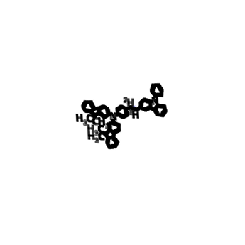 [2H]/C(=C(/[2H])c1ccc2c(c1)c1ccccc1n2-c1ccccc1)c1ccc(N(c2ccc3c(c2)C(C)(C)c2ccccc2-3)c2ccc3c(c2)C(C)(C)c2ccccc2-3)cc1